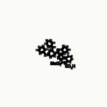 COCCN(C(=O)O)[C@H]1CCCC[C@@H]1n1cnc(C(=O)N2CCN(Cc3ccccc3)C[C@H]2Cc2ccccc2)c1-c1ccccc1